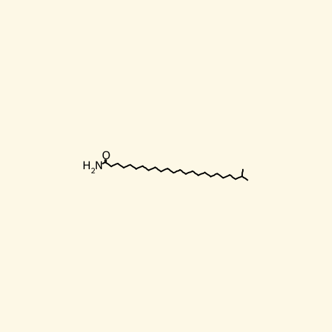 CC(C)CCCCCCCCCCCCCCCCCCCCCC(N)=O